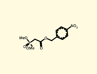 COP(=O)(CC(=O)OCc1ccc([N+](=O)[O-])cc1)OC